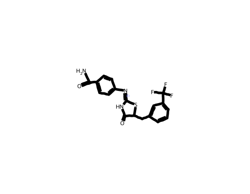 NC(=O)c1ccc(/N=C2\NC(=O)C(Cc3cccc(C(F)(F)F)c3)S2)cc1